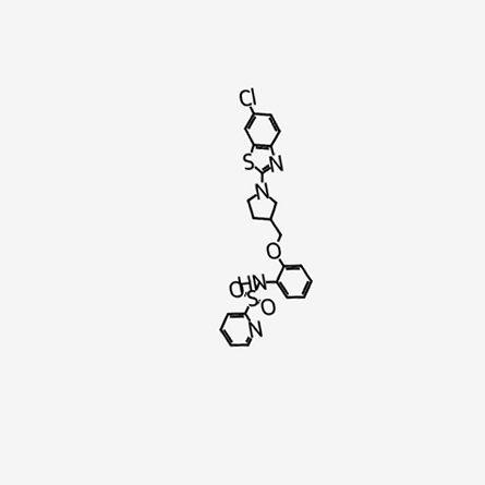 O=S(=O)(Nc1ccccc1OCC1CCN(c2nc3ccc(Cl)cc3s2)C1)c1ccccn1